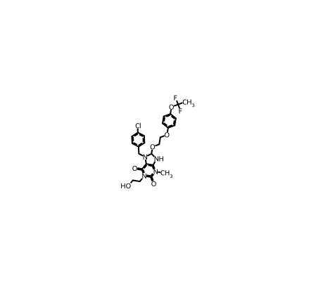 Cn1c2c(c(=O)n(CCO)c1=O)N(Cc1ccc(Cl)cc1)C(OCCOc1ccc(OC(C)(F)F)cc1)N2